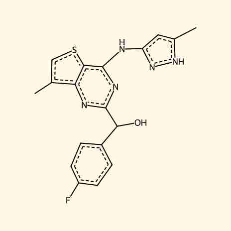 Cc1cc(Nc2nc(C(O)c3ccc(F)cc3)nc3c(C)csc23)n[nH]1